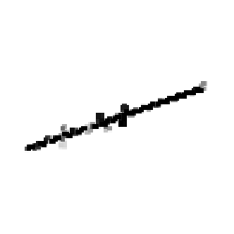 CCOCCOCCNC(=O)COCCOCCNC(=O)CCCNC(=O)CCCCCCCCCCCCCCCCC=O